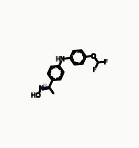 C/C(=N\O)c1ccc(Nc2ccc(OC(F)F)cc2)cc1